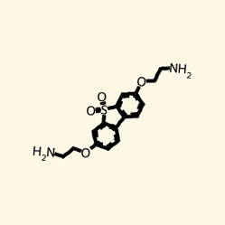 NCCOc1ccc2c(c1)S(=O)(=O)c1cc(OCCN)ccc1-2